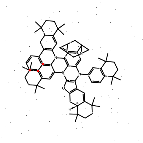 CC1(C)CCC(C)(C)C2CC(c3ccccc3)=C(N3c4cc5c(cc4B4c6oc7c(c6N(c6ccc8c(c6)C(C)(C)CCC8(C)C)c6cc(C89CC%10C=C%10CN8C9)cc3c64)C=C3[C@@H](C7)C(C)(C)CCC3(C)C)C(C)(C)CCC5(C)C)C=C21